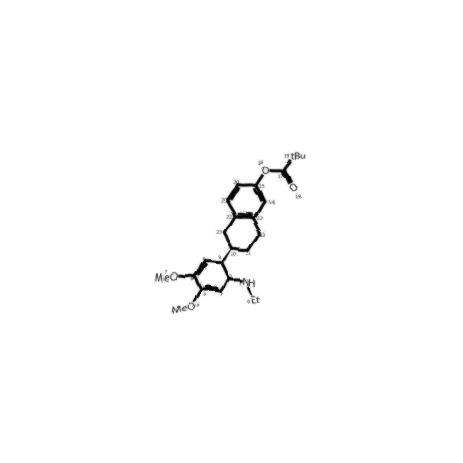 CCNC1C=C(OC)C(OC)=CC1[C@@H]1CCc2cc(OC(=O)C(C)(C)C)ccc2C1